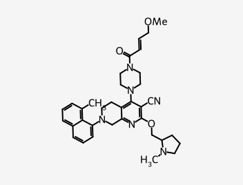 COCC=CC(=O)N1CCN(c2c(C#N)c(OCC3CCCN3C)nc3c2CCN(c2cccc4cccc(C)c24)C3)CC1